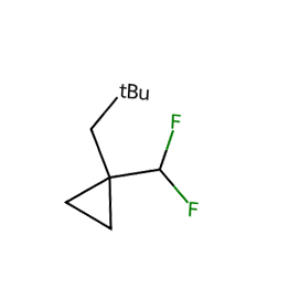 CC(C)(C)CC1(C(F)F)CC1